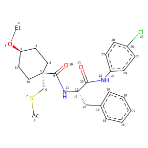 CCO[C@H]1CC[C@@](CSC(C)=O)(C(=O)N[C@@H](Cc2ccccc2)C(=O)Nc2ccc(Cl)cc2)CC1